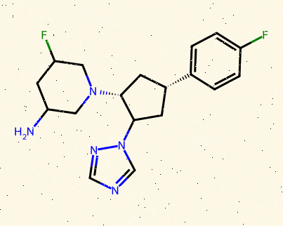 NC1CC(F)CN([C@@H]2C[C@H](c3ccc(F)cc3)CC2n2cncn2)C1